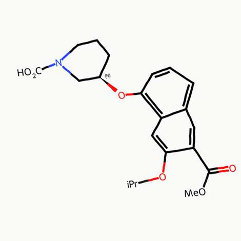 COC(=O)c1cc2cccc(O[C@@H]3CCCN(C(=O)O)C3)c2cc1OC(C)C